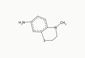 CN1CCSc2cc(N)ccc21